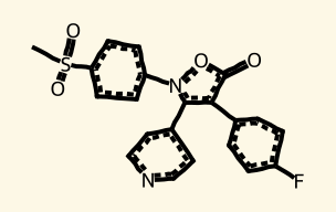 CS(=O)(=O)c1ccc(-n2oc(=O)c(-c3ccc(F)cc3)c2-c2ccncc2)cc1